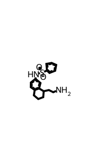 NCCC1CCCc2ccc(NS(=O)(=O)c3ccccc3)cc21